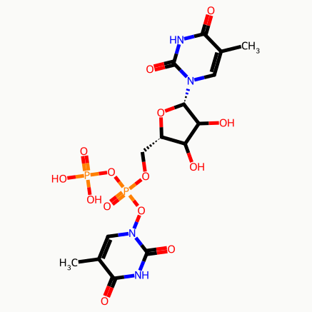 Cc1cn(OP(=O)(OC[C@@H]2O[C@H](n3cc(C)c(=O)[nH]c3=O)C(O)C2O)OP(=O)(O)O)c(=O)[nH]c1=O